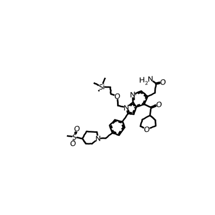 C[Si](C)(C)CCOCn1c(-c2ccc(CN3CCC(S(C)(=O)=O)CC3)cc2)cc2c(C(=O)C3CCOCC3)c(CC(N)=O)cnc21